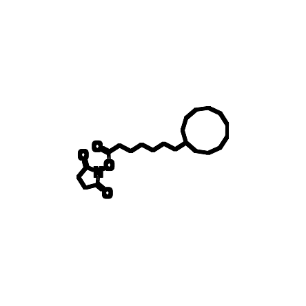 O=C(CCCCCCC1CCCCCCCCCC1)ON1C(=O)CCC1=O